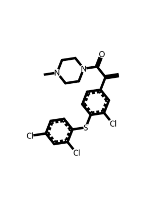 C=C(C(=O)N1CCN(C)CC1)c1ccc(Sc2ccc(Cl)cc2Cl)c(Cl)c1